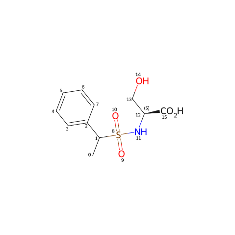 CC(c1ccccc1)S(=O)(=O)N[C@@H](CO)C(=O)O